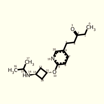 CCC(=O)CCc1ccc(O[C@H]2C[C@H](NC(C)C)C2)nc1